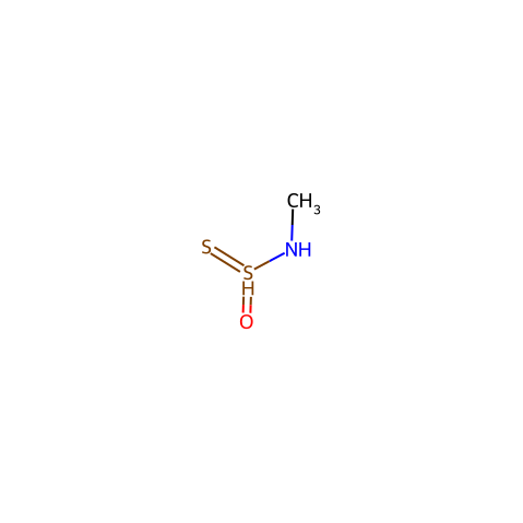 CN[SH](=O)=S